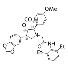 CCc1cccc(CC)c1NC(=O)CN1C[C@H](c2ccc3c(c2)OCO3)[C@H](OC(=O)O)[C@H]1c1ccc(OC)cc1